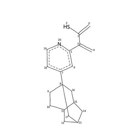 C=C(S)C(=C)c1cc(C23CCC4CC(CC4C2)C3)ccn1